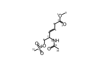 COC(=O)C/C=C/C(COS(C)(=O)=O)NC(C)=O